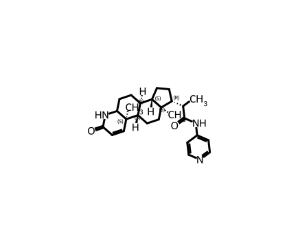 CC(C(=O)Nc1ccncc1)[C@H]1CC[C@H]2[C@@H]3CCC4NC(=O)C=C[C@]4(C)[C@H]3CC[C@]12C